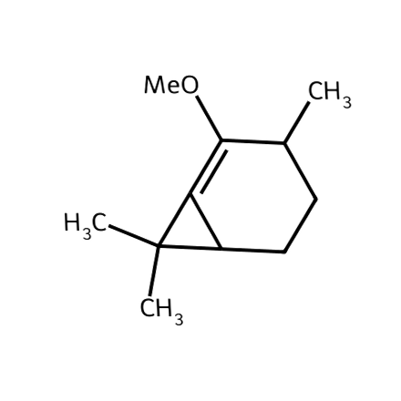 COC1=C2C(CCC1C)C2(C)C